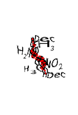 CCCCCCCCCCCCOc1cc(C)cc(-c2cc(N)c3nc4c5cccc6c(-c7ccc8c(=O)n9c%10cc(-c%11cc(C)cc(OCCCCCCCCCCCC)c%11)cc([N+](=O)[O-])c%10nc9c9cccc7c89)ccc(c(=O)n4c3c2)c65)c1